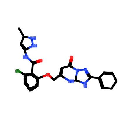 CC1C=C(NC(=O)c2c(Cl)cccc2OCC2=CC(=O)N3N=C(C4=CCCC=C4)NC3N2)NN1